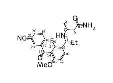 CC[C@@H](N[C@@H](C)CC(N)=O)c1ccc(OC)c(C(=O)c2cccc(C#N)c2)c1F